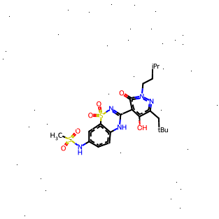 CC(C)CCn1nc(CC(C)(C)C)c(O)c(C2=NS(=O)(=O)c3cc(NS(C)(=O)=O)ccc3N2)c1=O